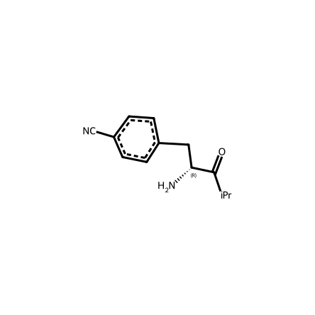 CC(C)C(=O)[C@H](N)Cc1ccc(C#N)cc1